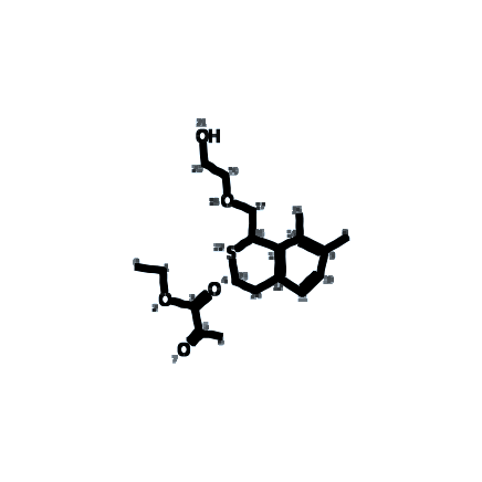 CCOC(=O)C(C)=O.Cc1ccc2c(c1C)C(COCCO)SCC2